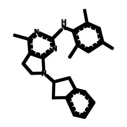 Cc1cc(C)c(Nc2nc(C)c3c(n2)N(C2Cc4ccccc4C2)CC3)c(C)c1